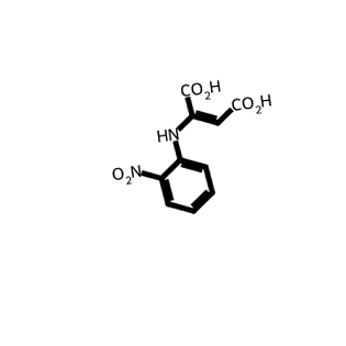 O=C(O)C=C(Nc1ccccc1[N+](=O)[O-])C(=O)O